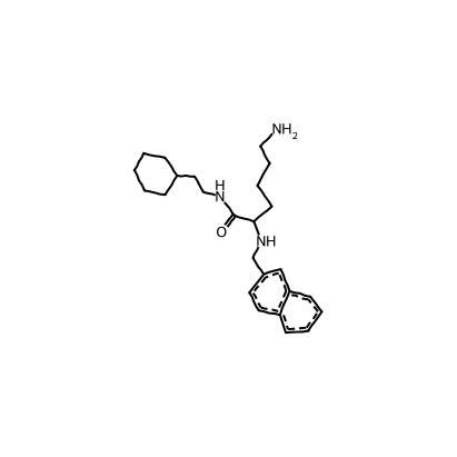 NCCCCC(NCc1ccc2ccccc2c1)C(=O)NCCC1CCCCC1